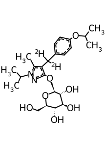 [2H]C([2H])(c1ccc(OC(C)C)cc1)c1c(O[C@@H]2O[C@H](CO)[C@@H](O)[C@H](O)[C@H]2O)nn(C(C)C)c1C